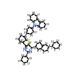 c1ccc(-c2ccc3cc(-c4nc(-c5ccccc5)nc5c4sc4c(-c6ccc(-n7c8ccccc8c8ccccc87)cc6)cccc45)ccc3c2)cc1